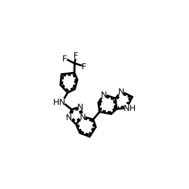 FC(F)(F)c1ccc(Nc2nc3cccc(-c4cnc5nc[nH]c5c4)n3n2)cc1